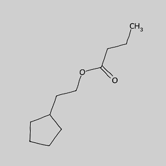 CCCC(=O)OCCC1CCCC1